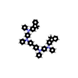 CC1(C)c2ccccc2-c2cc(N(c3ccccc3)c3ccc(N(c4ccccc4)c4ccc(-c5ccc(N(c6ccccc6)c6ccc(N(c7ccccc7)c7ccc8c(c7)C7C=CC=CC7C8(C)C)cc6)cc5)cc4)cc3)ccc21